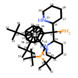 CC(C)(C)P(C[C]12[C]3(C(P)(C4CCCCN4)C4CCCCN4)[CH]4[C]5(C(C)(C)C)[C]1(C(C)(C)C)[Fe]42351678[CH]2[CH]1[CH]6[CH]7[CH]28)C(C)(C)C